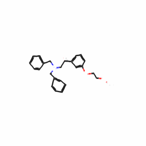 CCCCOCCOc1cccc([C@@H](O)CN(Cc2ccccc2)Cc2ccccc2)c1